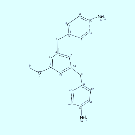 COc1cc(Cc2ccc(N)cc2)cc(Cc2ccc(N)cc2)c1